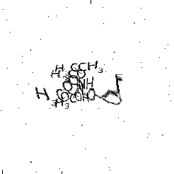 COC(=O)C(C)(O)CN(Cc1ccc(-c2cccc(F)c2)cc1)NC(=O)OC(C)(C)C